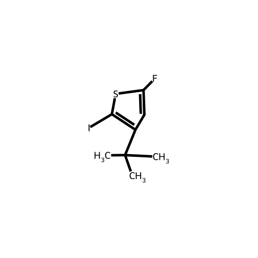 CC(C)(C)c1cc(F)sc1I